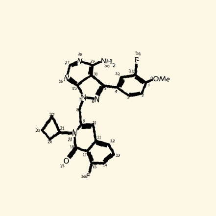 COc1ccc(-c2nn(Cc3cc4cccc(F)c4c(=O)n3C3CCC3)c3ncnc(N)c23)cc1F